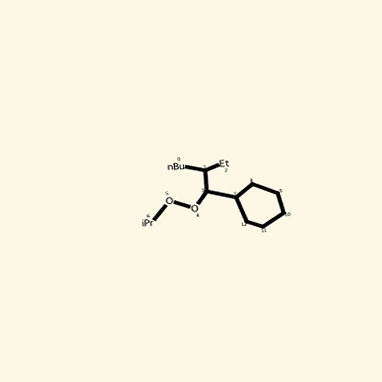 CCCCC(CC)[C](OOC(C)C)C1CCCCC1